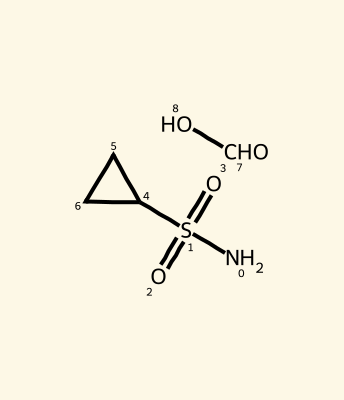 NS(=O)(=O)C1CC1.O=CO